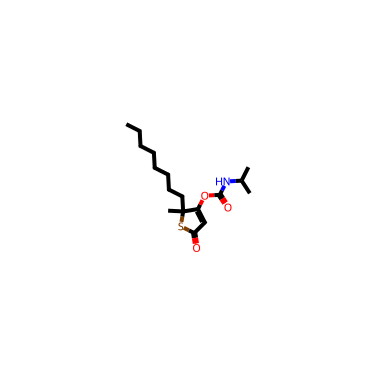 CCCCCCCCC1(C)SC(=O)C=C1OC(=O)NC(C)C